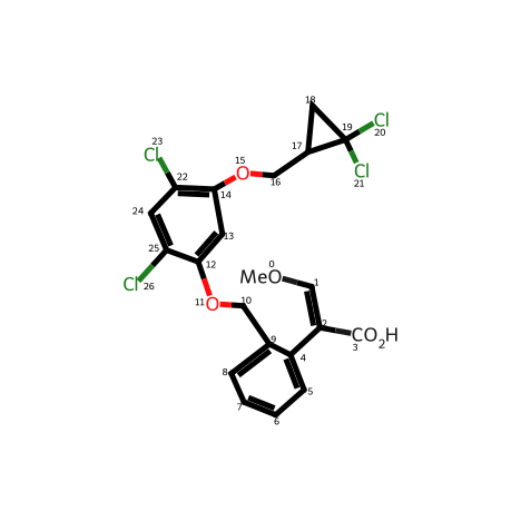 CO/C=C(/C(=O)O)c1ccccc1COc1cc(OCC2CC2(Cl)Cl)c(Cl)cc1Cl